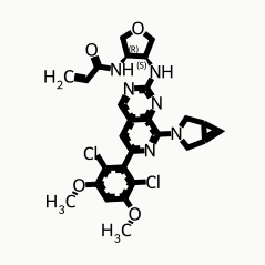 C=CC(=O)N[C@H]1COC[C@H]1Nc1ncc2cc(-c3c(Cl)c(OC)cc(OC)c3Cl)nc(N3CC4=CC4C3)c2n1